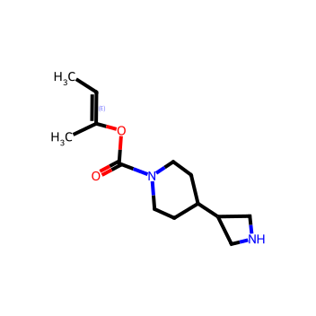 C/C=C(\C)OC(=O)N1CCC(C2CNC2)CC1